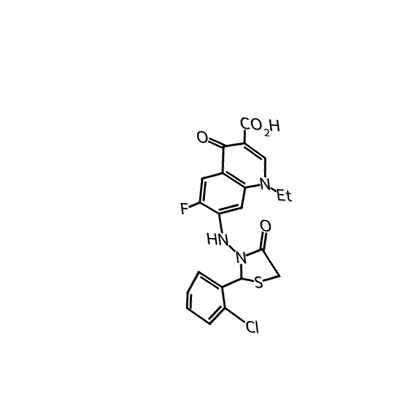 CCn1cc(C(=O)O)c(=O)c2cc(F)c(NN3C(=O)CSC3c3ccccc3Cl)cc21